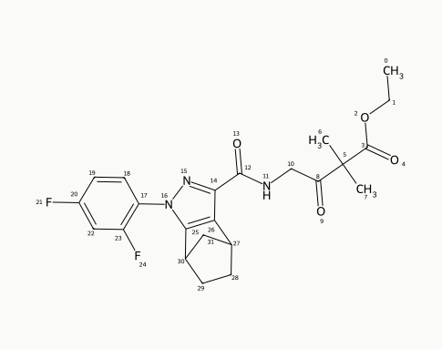 CCOC(=O)C(C)(C)C(=O)CNC(=O)c1nn(-c2ccc(F)cc2F)c2c1C1CCC2C1